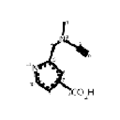 C#CN(C)Cc1cc(C(=O)O)ccn1